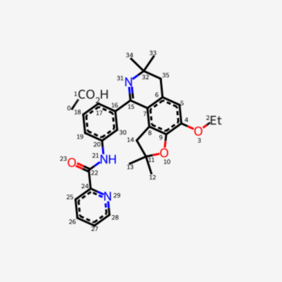 CC(=O)O.CCOc1cc2c(c3c1OC(C)(C)C3)C(c1cccc(NC(=O)c3ccccn3)c1)=NC(C)(C)C2